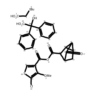 CC(C)(C)CC(=O)O.COc1c(C(=O)OC(=O)C2C3CC4C(C3=O)C42)csc1Cl.O=C(O)C(O)(c1ccccc1)c1ccccc1